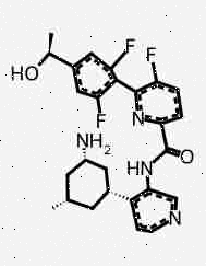 C[C@@H]1C[C@H](N)C[C@H](c2ccncc2NC(=O)c2ccc(F)c(-c3c(F)cc([C@H](C)O)cc3F)n2)C1